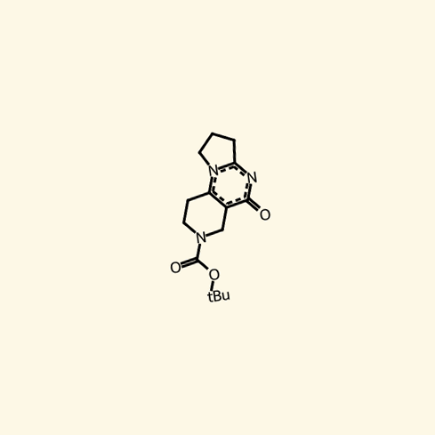 CC(C)(C)OC(=O)N1CCc2c(c(=O)nc3n2CCC3)C1